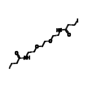 CCCC(=O)NCCOCCOCCNC(=O)CCI